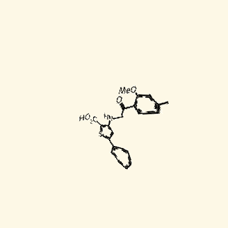 COc1cc(C)ccc1C(=O)CNc1cc(-c2ccccc2)sc1C(=O)O